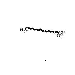 CCCCCCCCCCCCCCCC[C](O)O